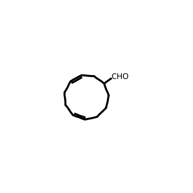 O=CC1C/C=C\CC/C=C\CCC1